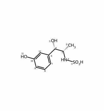 C[C@H](NS(=O)(=O)O)[C@@H](O)c1cccc(O)c1